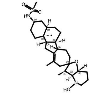 CC1=C2C[C@H]3[C@@H](CC[C@@H]4C[C@H](NS(C)(=O)=O)CC[C@@]43C)[C@@H]2CC[C@@]2(C1)O[C@@H]1CCCN(O)[C@H]1[C@H]2C